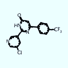 O=c1cc(-c2ccc(C(F)(F)F)cc2)nc(-c2cncc(Cl)c2)[nH]1